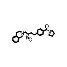 O=NC(CCc1ccc(C(=O)N2CCCC2)cc1)CN1CCc2ccccc2C1